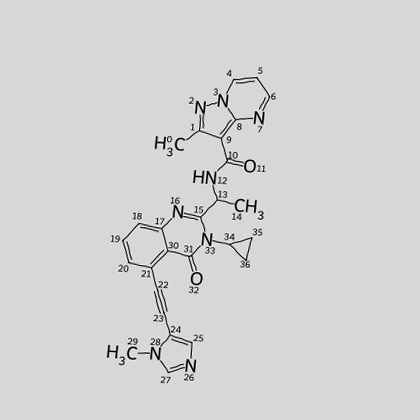 Cc1nn2cccnc2c1C(=O)NC(C)c1nc2cccc(C#Cc3cncn3C)c2c(=O)n1C1CC1